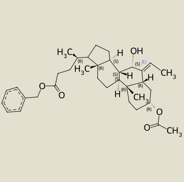 C/C=C1/[C@@H](O)[C@@H]2[C@H](CC[C@]3(C)C([C@H](C)CCC(=O)OCc4ccccc4)CC[C@@H]23)[C@@]2(C)CC[C@@H](OC(C)=O)C[C@@H]12